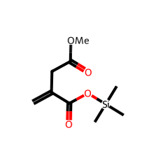 C=C(CC(=O)OC)C(=O)O[Si](C)(C)C